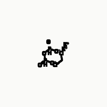 ClCCl.O=[PH]([O-])O[PH](=O)[O-].[K+].[K+]